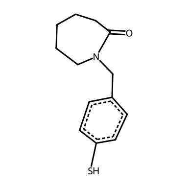 O=C1CCCCCN1Cc1ccc(S)cc1